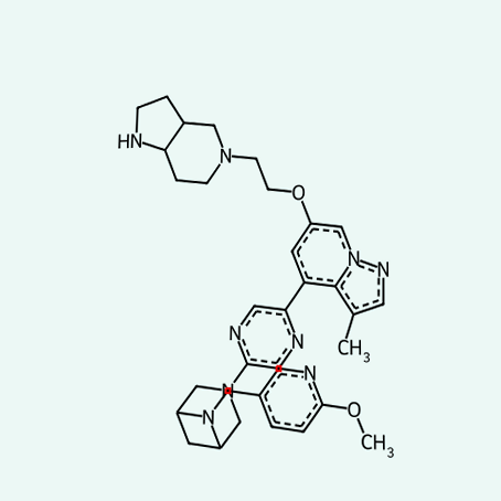 COc1ccc(CN2C3CC2CN(c2cnc(-c4cc(OCCN5CCC6NCCC6C5)cn5ncc(C)c45)cn2)C3)cn1